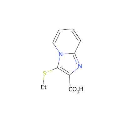 CCSc1c(C(=O)O)nc2ccccn12